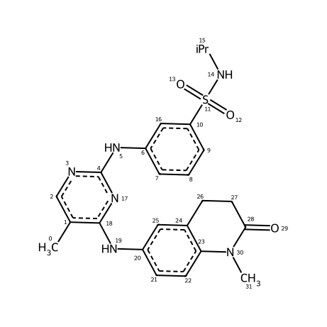 Cc1cnc(Nc2cccc(S(=O)(=O)NC(C)C)c2)nc1Nc1ccc2c(c1)CCC(=O)N2C